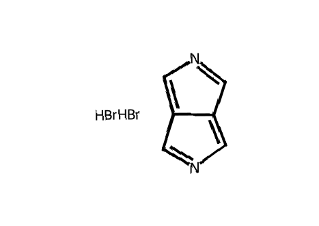 Br.Br.C1=NC=C2C=NC=C12